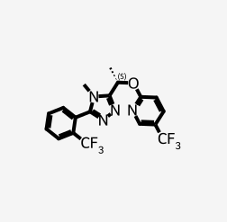 C[C@H](Oc1ccc(C(F)(F)F)cn1)c1nnc(-c2ccccc2C(F)(F)F)n1C